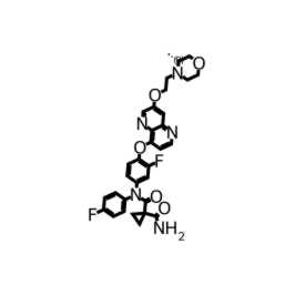 C[C@@H]1COCCN1CCOc1cnc2c(Oc3ccc(N(C(=O)C4(C(N)=O)CC4)c4ccc(F)cc4)cc3F)ccnc2c1